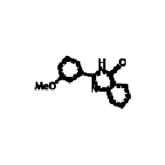 COc1cccc(-c2nc3ccccc3c(=O)[nH]2)c1